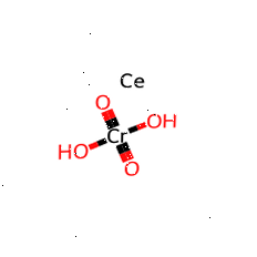 [Ce].[O]=[Cr](=[O])([OH])[OH]